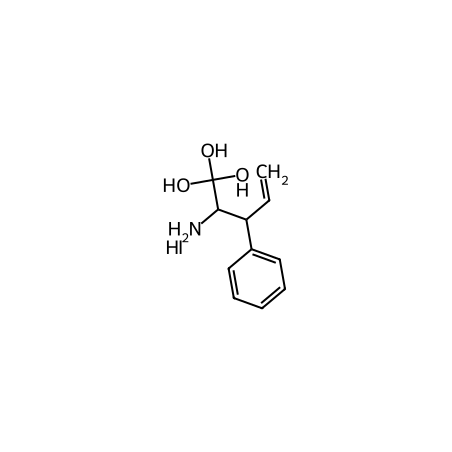 C=CC(c1ccccc1)C(N)C(O)(O)O.I